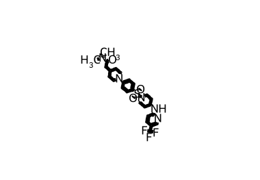 CN(C)C(=O)CC1CCN(c2ccc(S(=O)(=O)N3CCC(Nc4ccc(C(F)(F)F)cn4)CC3)cc2)CC1